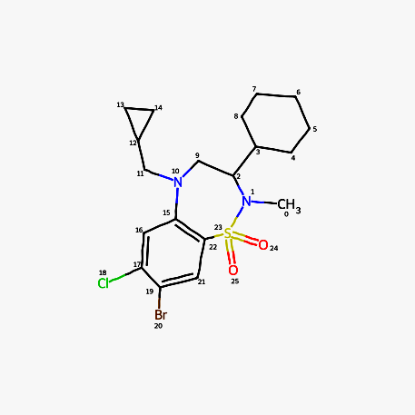 CN1C(C2CCCCC2)CN(CC2CC2)c2cc(Cl)c(Br)cc2S1(=O)=O